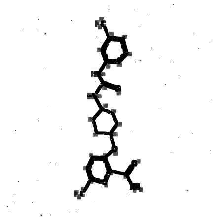 NC(=O)c1cc(C(F)(F)F)ccc1OC1CCC(NC(=O)Nc2cccc(C(F)(F)F)c2)CC1